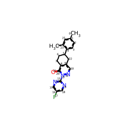 Cc1ccc(C2CCc3c(cnn(-c4ncc(F)cn4)c3=O)C2)c(C)c1